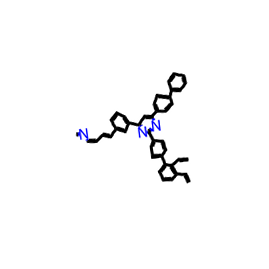 C=Cc1cccc(-c2ccc(-c3nc(-c4ccc(-c5ccccc5)cc4)cc(-c4cccc(/C=C/C=C\N=C)c4)n3)cc2)c1C=C